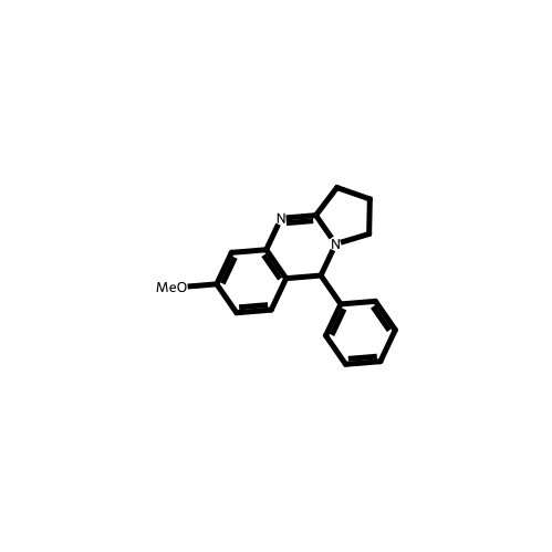 COc1ccc2c(c1)N=C1CCCN1C2c1ccccc1